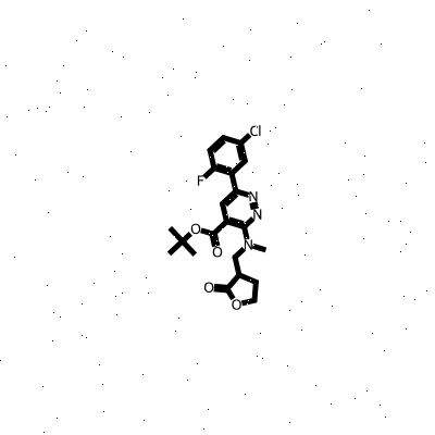 CN(CC1CCOC1=O)c1nnc(-c2cc(Cl)ccc2F)cc1C(=O)OC(C)(C)C